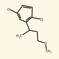 [CH2]C(CCOC)c1cc(Cl)ccc1Cl